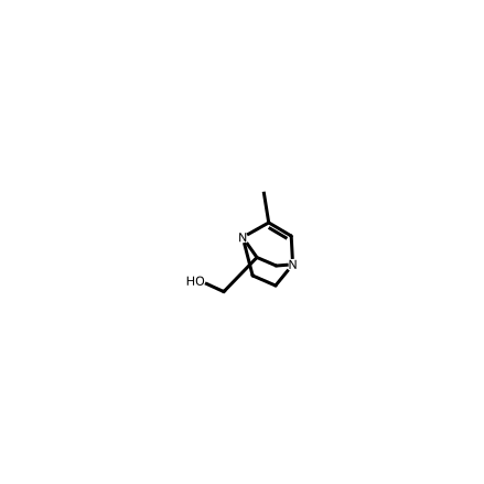 CC1=CN2CCN1C(CO)C2